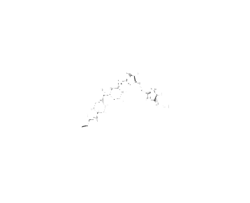 C=CC(=O)NC1CCN(C(=O)C2CCC[C@@H](Nc3ncc(SCc4ncc(C(C)(C)C)o4)s3)C2)CC1